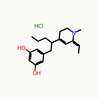 CC=C1C=C(C(CCC)Cc2cc(O)cc(O)c2)CCN1C.Cl